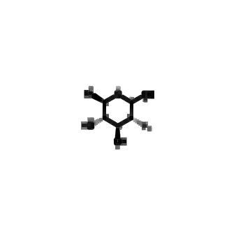 CC[C@H]1OC(O)[C@H](F)[C@@H](O)[C@@H]1O